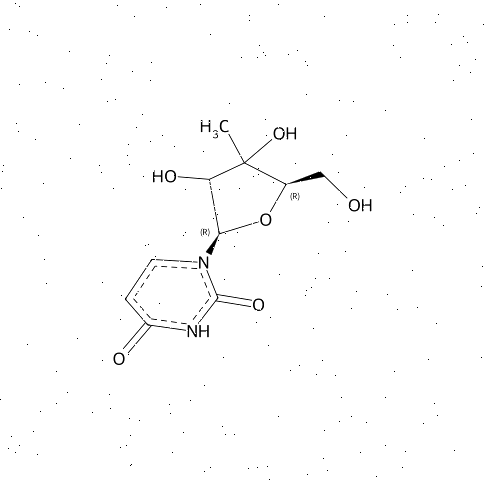 CC1(O)C(O)[C@H](n2ccc(=O)[nH]c2=O)O[C@@H]1CO